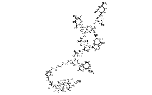 Cc1cn([C@H]2C[C@@H](OP(=O)(O)OC[C@H]3O[C@@H](n4ccc(N)nc4=O)C[C@H]3O)[C@@H](COP(=O)(O)O[C@@H]3C[C@H](n4cnc5c(=O)[nH]c(N)nc54)O[C@@H]3COP(=O)(O)O[C@@H]3C[C@H](n4cnc5c(N)ncnc54)O[C@@H]3COCCOCCn3cc(CN[C@@H](C)[C@H]4CC[C@@]5(C)[C@]6(C)CC=C7CC(O)CC[C@]7(C)[C@@]6(C)CC[C@]45C)nn3)O2)c(=O)[nH]c1=O